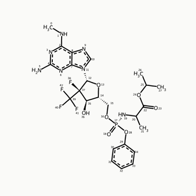 CNc1nc(N)nc2c1ncn2[C@@H]1O[C@H](CO[P@@](=O)(NC(C)C(=O)OC(C)C)Oc2ccccc2)[C@@H](O)[C@]1(F)C(F)(F)F